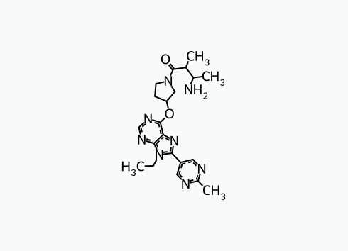 CCn1c(-c2cnc(C)nc2)nc2c(OC3CCN(C(=O)C(C)C(C)N)C3)ncnc21